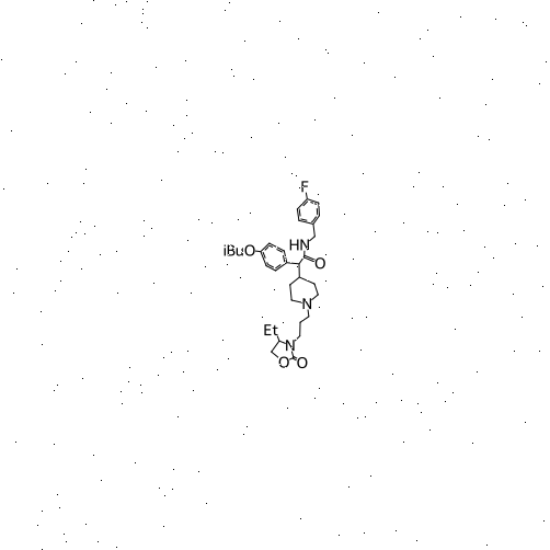 CCC1COC(=O)N1CCCN1CCC(C(C(=O)NCc2ccc(F)cc2)c2ccc(OCC(C)C)cc2)CC1